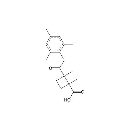 Cc1cc(C)c(CC(=O)C2(C)CCC2(C)C(=O)O)c(C)c1